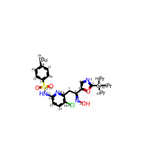 CC(C)[Si](c1ncc(C(Cc2nc(NS(=O)(=O)c3ccc(C(C)(C)C)cc3)ccc2Cl)=NO)o1)(C(C)C)C(C)C